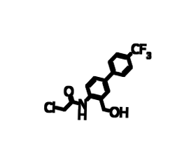 O=C(CCl)Nc1ccc(-c2ccc(C(F)(F)F)cc2)cc1CO